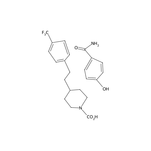 NC(=O)c1ccc(O)cc1.O=C(O)N1CCC(CCc2ccc(C(F)(F)F)cc2)CC1